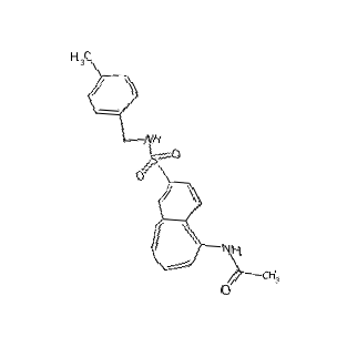 CC(=O)Nc1cccc2cc(S(=O)(=O)NCc3ccc(C)cc3)ccc12